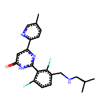 Cc1ccc(-c2cc(=O)[nH]c(-c3c(F)ccc(CNCC(C)C)c3F)n2)nc1